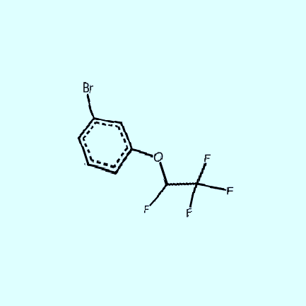 FC(Oc1c[c]cc(Br)c1)C(F)(F)F